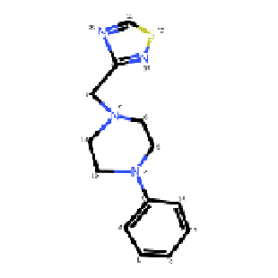 c1ccc(N2CCN(Cc3ncsn3)CC2)cc1